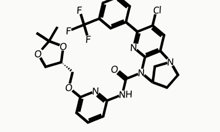 CC1(C)OC[C@@H](COc2cccc(NC(=O)N3c4nc(-c5cccc(C(F)(F)F)c5)c(Cl)cc4N4CCC3C4)n2)O1